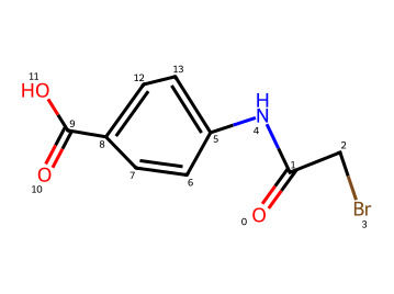 O=C(CBr)Nc1ccc(C(=O)O)cc1